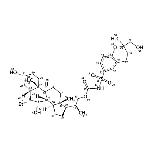 CC[C@H]1[C@@H](O)[C@@H]2[C@H](CC[C@]3(C)[C@@H]([C@H](C)COC(=O)NS(=O)(=O)c4ccc5c(c4)CCC(C)(CO)O5)CC[C@@H]23)[C@@]2(C)CC[C@@H](O)C[C@@H]12